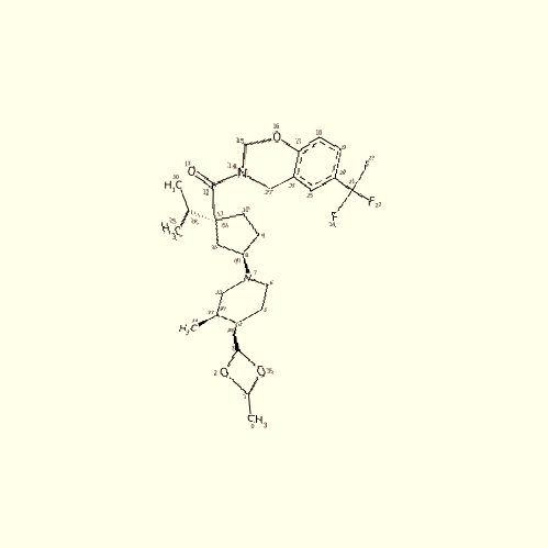 CC1OC([C@@H]2CCN([C@@H]3CC[C@@](C(=O)N4COc5ccc(C(F)(F)F)cc5C4)(C(C)C)C3)C[C@@H]2C)O1